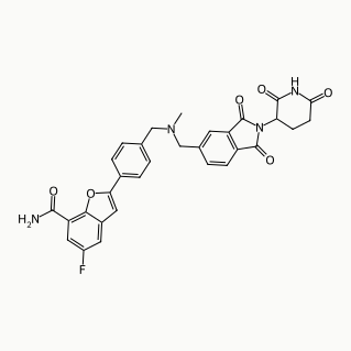 CN(Cc1ccc(-c2cc3cc(F)cc(C(N)=O)c3o2)cc1)Cc1ccc2c(c1)C(=O)N(C1CCC(=O)NC1=O)C2=O